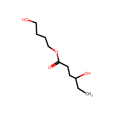 CCC(O)CCC(=O)OCCCCO